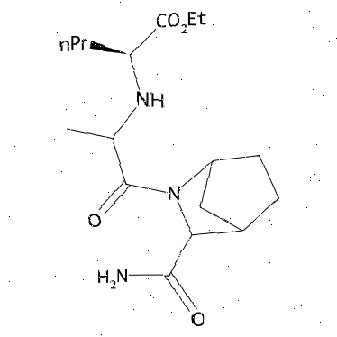 CCC[C@H](NC(C)C(=O)N1C2CCC(C2)C1C(N)=O)C(=O)OCC